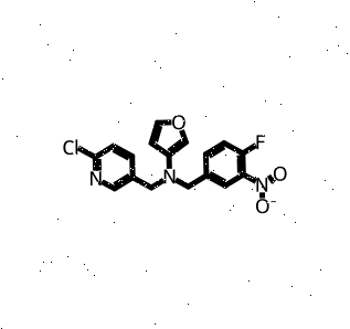 O=[N+]([O-])c1cc(CN(Cc2ccc(Cl)nc2)c2ccoc2)ccc1F